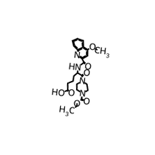 CCOC(=O)N1CCN(C(=O)C(CCCC(=O)O)NC(=O)c2cc(OC)c3ccccc3n2)CC1